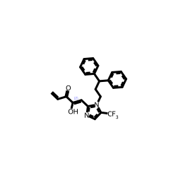 C=CC(=O)/C(O)=C/c1ncc(C(F)(F)F)n1CCC(c1ccccc1)c1ccccc1